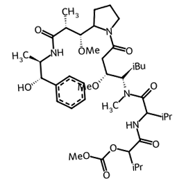 CC[C@H](C)[C@@H]([C@@H](CC(=O)N1CCCC1[C@H](OC)[C@@H](C)C(=O)N[C@H](C)[C@@H](O)c1ccccc1)OC)N(C)C(=O)C(NC(=O)C(OC(=O)OC)C(C)C)C(C)C